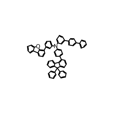 c1ccc(-c2ccc(-c3cccc(N(c4ccc(-c5cccc6c5-c5ccccc5C6(c5ccccc5)c5ccccc5)cc4)c4cccc(-c5cccc6c5oc5ccccc56)c4)c3)cc2)cc1